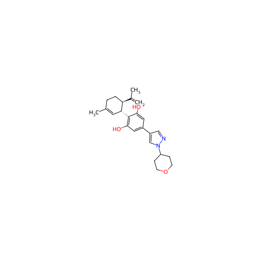 C=C(C)[C@@H]1CCC(C)=C[C@H]1c1c(O)cc(-c2cnn(C3CCOCC3)c2)cc1O